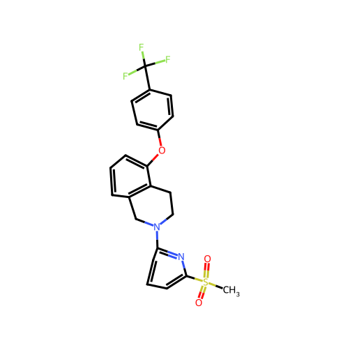 CS(=O)(=O)c1cccc(N2CCc3c(cccc3Oc3ccc(C(F)(F)F)cc3)C2)n1